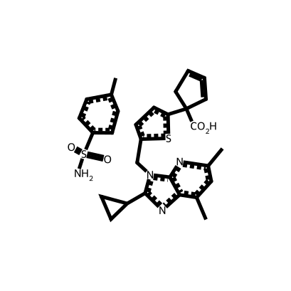 Cc1cc(C)c2nc(C3CC3)n(Cc3ccc(C4(C(=O)O)C=C=CC4)s3)c2n1.Cc1ccc(S(N)(=O)=O)cc1